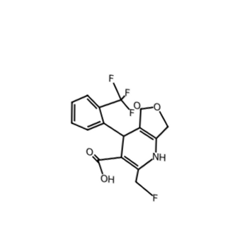 O=C(O)C1=C(CF)NC2=C(C(=O)OC2)C1c1ccccc1C(F)(F)F